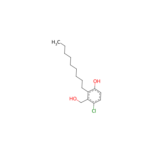 CCCCCCCCCc1c(O)ccc(Cl)c1CO